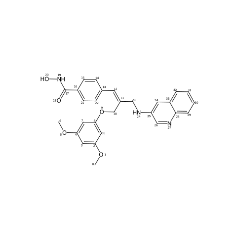 COc1cc(OC)cc(OCC(=Cc2ccc(C(=O)NO)cc2)CNc2cnc3ccccc3c2)c1